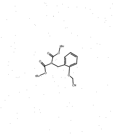 CC(C)(C)OC(=O)N(Cc1ccccc1OCC#N)C(=O)OC(C)(C)C